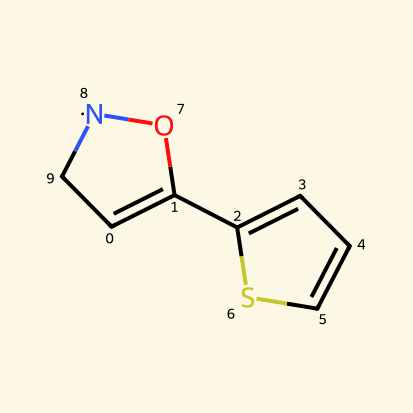 C1=C(c2cccs2)O[N]C1